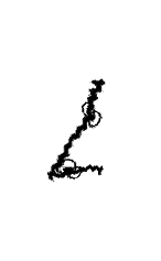 CCC(CCCCCCCCCCCC(=O)OCCCCCC(C)C)CC(=O)OCCCCCC(C)C